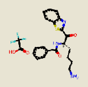 NCCCC[C@H](NC(=O)c1ccccc1)C(=O)c1nc2ccccc2s1.O=C(O)C(F)(F)F